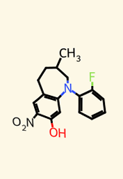 CC1CCc2cc([N+](=O)[O-])c(O)cc2N(c2ccccc2F)C1